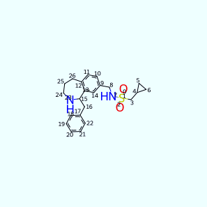 O=S(=O)(CC1CC1)NCc1ccc2c(c1)C(Cc1ccccc1)NCCC2